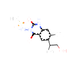 CCCC(CO)c1cc2c(=O)n(NS(C)(=O)=O)c(=O)[nH]c2cc1C(F)(F)F